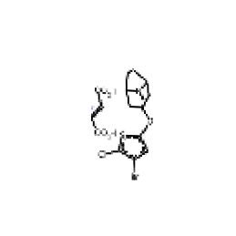 CN1C2CCC1CC(Oc1cc(Br)c(Cl)s1)C2.O=C(O)/C=C/C(=O)O